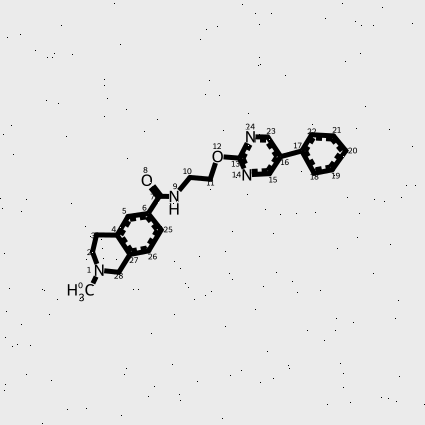 CN1CCc2cc(C(=O)NCCOc3ncc(-c4ccccc4)cn3)ccc2C1